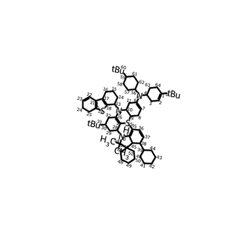 CC(C)(C)C1=CCC(N(C2=CCC3C(C2)N(C2CCCc4c2sc2c4C=CCC2)C2=C4C(CC(C(C)(C)C)C2)N2C5=C(C=CC(C6CCCCC6)C5C5(CCCCC5)C2(C)C)[SH]43)C2CCC(C(C)(C)C)CC2)CC1